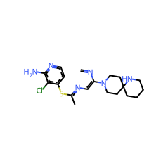 C=N/C(=C\N=C(/C)Sc1ccnc(N)c1Cl)N1CCC2(CCCCN2)CC1